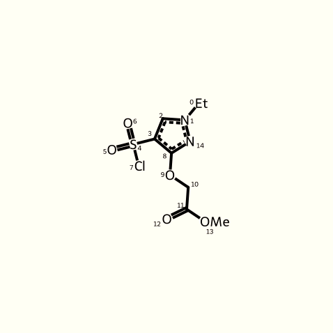 CCn1cc(S(=O)(=O)Cl)c(OCC(=O)OC)n1